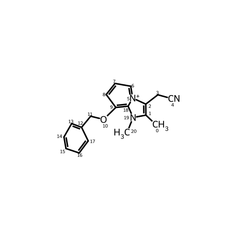 Cc1c(CC#N)[n+]2cccc(OCc3ccccc3)c2n1C